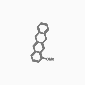 COc1cccc2cc3c(cc12)Cc1ccccc1C3